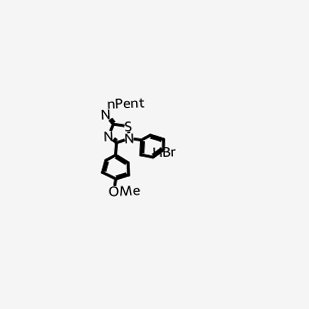 Br.CCCCCN=c1nc(-c2ccc(OC)cc2)n(-c2ccccc2)s1